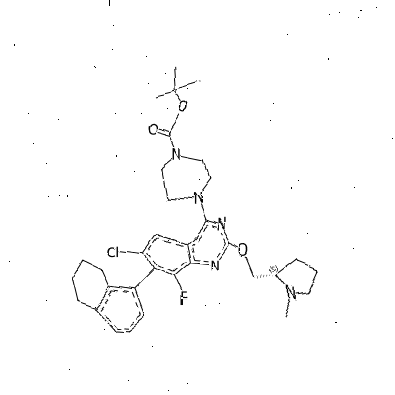 CN1CCC[C@H]1COc1nc(N2CCN(C(=O)OC(C)(C)C)CC2)c2cc(Cl)c(-c3cccc4c3CCCC4)c(F)c2n1